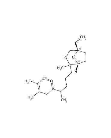 C=C[C@@]12CC[C@@H](O1)C(C)(CCCC(C)C(=O)CC(C)=C(C)C)OC2